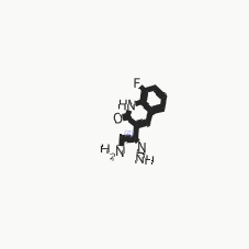 N=N/C(=C\N)c1cc2cccc(F)c2[nH]c1=O